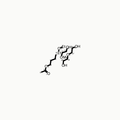 CCCCOC(C)=O.CCOCC.COCCO.OCCOCCO